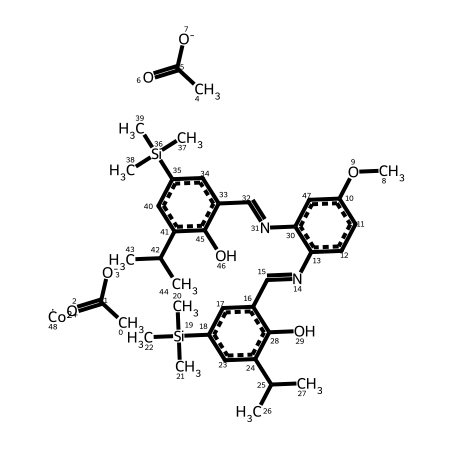 CC(=O)[O-].CC(=O)[O-].COc1ccc(N=Cc2cc([Si](C)(C)C)cc(C(C)C)c2O)c(N=Cc2cc([Si](C)(C)C)cc(C(C)C)c2O)c1.[Co+2]